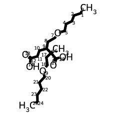 CCCCCCOCCC(CCC(=O)O)C(C)(CCOCCCCCC)C(=O)O